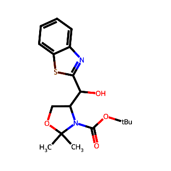 CC(C)(C)OC(=O)N1C(C(O)c2nc3ccccc3s2)COC1(C)C